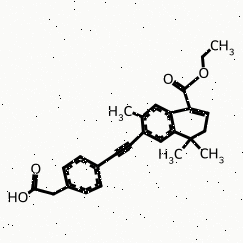 CCOC(=O)C1=CCC(C)(C)c2cc(C#Cc3ccc(CC(=O)O)cc3)c(C)cc21